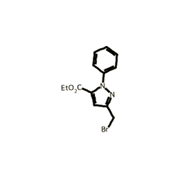 CCOC(=O)c1cc(CBr)nn1-c1ccccc1